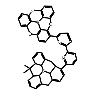 CC1(C)C2C=CC=C3CC4=CC=C(c5cccc(-c6cccc(-c7ccc8c9c7Oc7cccc%10c7B9c7c(cccc7O8)O%10)n6)n5)C5CC6=CC=CC1C6B(C45)C32